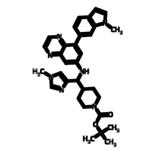 Cn1cnc(C(Nc2cc(-c3ccc4ccn(C)c4c3)c3nccnc3c2)C2CCN(C(=O)OC(C)(C)C)CC2)c1